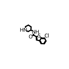 O=C(NC1CCCNC1)c1cc2cccc(Cl)c2s1